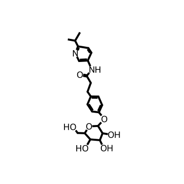 CC(C)c1ccc(NC(=O)CCc2ccc(OC3OC(CO)C(O)C(O)C3O)cc2)cn1